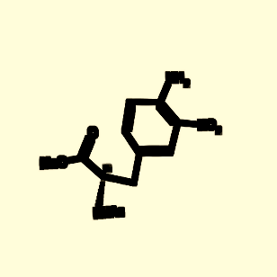 COC(=O)[C@H](Cc1ccc(N)c([N+](=O)[O-])c1)NC(C)=O